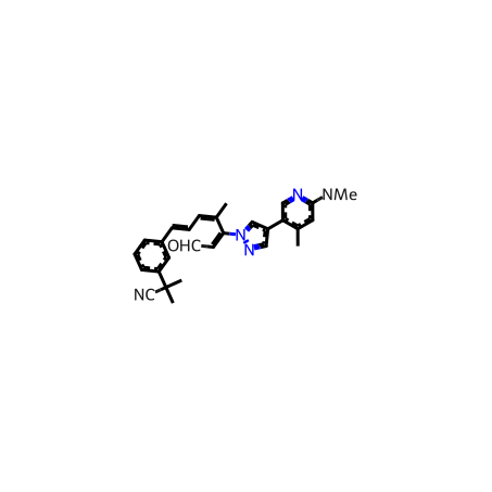 CNc1cc(C)c(-c2cnn(C(=C/C=O)/C(C)=C\C=C\c3cccc(C(C)(C)C#N)c3)c2)cn1